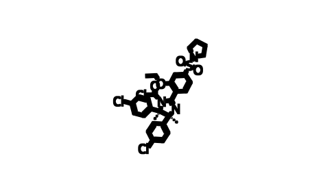 CCOc1cc(S(=O)(=O)N2CCCC2)ccc1C1=N[C@@](C)(c2ccc(Cl)cc2)[C@@](C)(c2ccc(Cl)cc2)N1C(=O)Cl